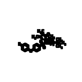 C=CC[C@](NS(=O)(=O)c1ccc(Oc2ccc(F)cc2)cc1)(C(=O)OC)C(C)(C)O[SiH2]C(C)(C)C